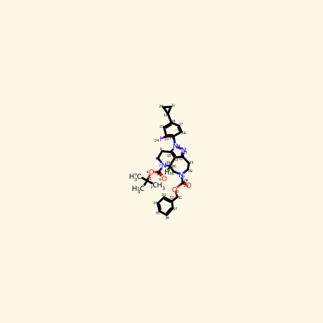 CC(C)(C)OC(=O)N1CCc2c3c(nn2-c2ccc(C4CC4)cc2I)CCN(C(=O)OCc2ccccc2)C[C@@H]31